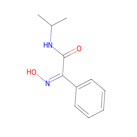 CC(C)NC(=O)C(=NO)c1ccccc1